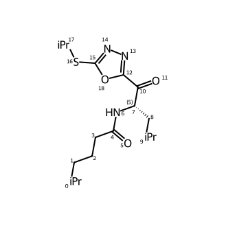 CC(C)CCCC(=O)N[C@@H](CC(C)C)C(=O)c1nnc(SC(C)C)o1